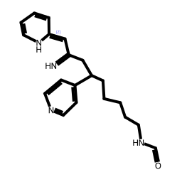 N=C(/C=C1/C=CC=CN1)CC(CCCCCNC=O)c1ccncc1